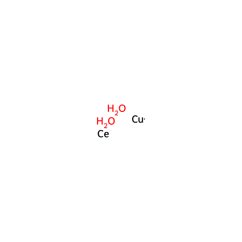 O.O.[Ce].[Cu]